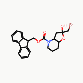 O=C(OCC1c2ccccc2-c2ccccc21)N1CCCC2OC(O)(CBr)CC21